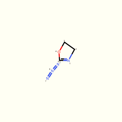 C1=NCCO1.[N-]=[N+]=[N-]